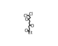 CCC(=O)CCC(=O)CCC(=O)CC(Cl)Cl